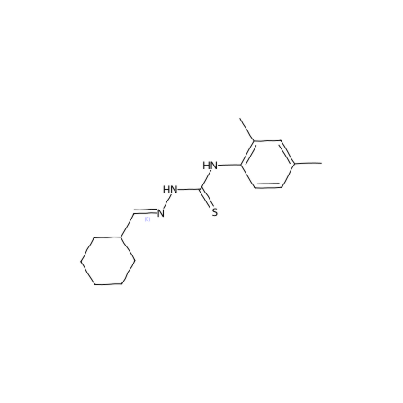 Cc1ccc(NC(=S)N/N=C/C2CCCCC2)c(C)c1